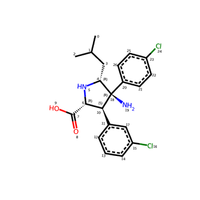 CC(C)C[C@H]1N[C@@H](C(=O)O)[C@H](c2cccc(Cl)c2)[C@@]1(N)c1ccc(Cl)cc1